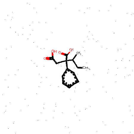 CCC(C)C(CC(=O)O)(C(=O)O)c1ccccc1